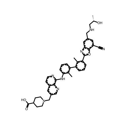 Cc1c(Nc2nccc3cc(CN4CCC(C(=O)O)CC4)cnc23)cccc1-c1cccc(-c2nc3cc(CNC[C@H](C)O)cc(C#N)c3o2)c1C